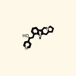 Cn1c2c(c3cccc(CC(O)c4ccncc4)c31)CN1CCCC1C2